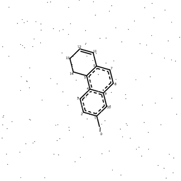 Ic1ccc2c3c(ccc2c1)C=CCC3